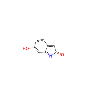 O=C1C=c2ccc(O)cc2=N1